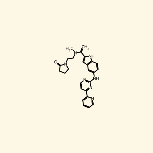 C=C(c1cc2cc(Nc3nccc(-c4ccccn4)n3)ccc2[nH]1)N(C)CCN1CCCC1=O